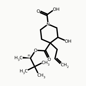 C=CCC1(C(=O)O[C@H](C)C(C)(C)C)CCN(C(=O)O)CC1O